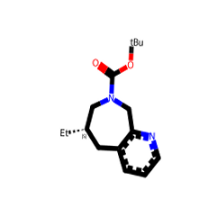 CC[C@H]1Cc2cccnc2CN(C(=O)OC(C)(C)C)C1